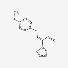 COc1ccc(CC=C(C=O)c2ccco2)cc1